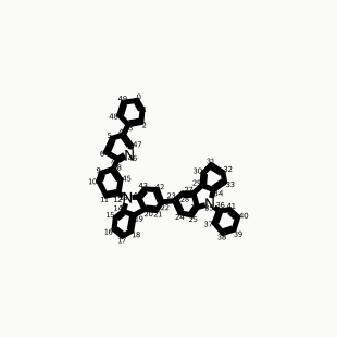 c1ccc(-c2ccc(-c3cccc(-n4c5ccccc5c5cc(-c6ccc7c(c6)c6ccccc6n7-c6ccccc6)ccc54)c3)nc2)cc1